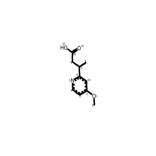 COc1ccnc(C(C)CC(=O)O)c1